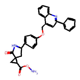 NOC(=O)C1CC12CC(c1ccc(OCc3cc(-c4ccccc4)nc4ccccc34)cc1)NC2=O